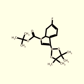 CC(C)(C)OC(=O)N1C=C(B2OC(C)(C)C(C)(C)O2)C2=CC=C(F)CC21